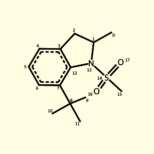 CC1Cc2cccc(C(C)(C)C)c2N1S(C)(=O)=O